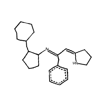 C(=C1CCCN1)C(=NC1CCCC1C1CCCCC1)c1ccccc1